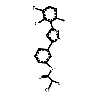 O=C(Nc1cccc(-c2cc(-c3c(F)ccc(F)c3Cl)no2)c1)C(Cl)Cl